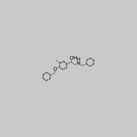 Cc1cc(C(O)CNCc2ccccc2)ccc1OCc1ccccc1